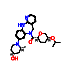 CC(C)O[C@H]1CC[C@H](C(=O)N2Cc3cccnc3Nc3ccc(N4CC[C@@H](O)C[C@H]4C)cc32)OC1